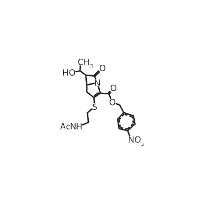 CC(=O)NCCSC1=C(C(=O)OCc2ccc([N+](=O)[O-])cc2)N2C(=O)C(C(C)O)C2C1